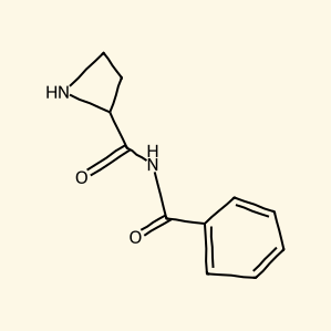 O=C(NC(=O)C1CCN1)c1ccccc1